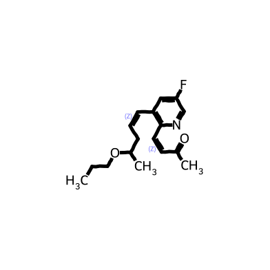 CCCOC(C)C/C=C\c1cc(F)cnc1/C=C\C(C)=O